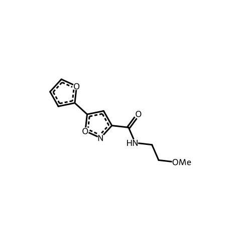 COCCNC(=O)c1cc(-c2ccco2)on1